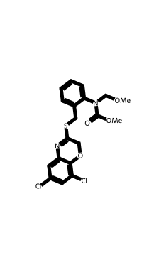 COCN(C(=O)OC)c1ccccc1CSC1=Nc2cc(Cl)cc(Cl)c2OC1